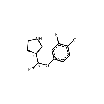 CC(C)[C@H](Oc1ccc(Cl)c(F)c1)[C@H]1CCNC1